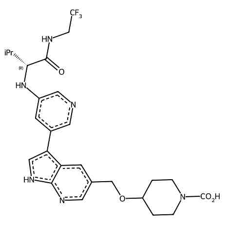 CC(C)[C@@H](Nc1cncc(-c2c[nH]c3ncc(COC4CCN(C(=O)O)CC4)cc23)c1)C(=O)NCC(F)(F)F